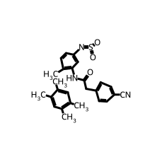 Cc1cc(C)c(C)cc1C.Cc1ccc(N=S(=O)=O)cc1NC(=O)Cc1ccc(C#N)cc1